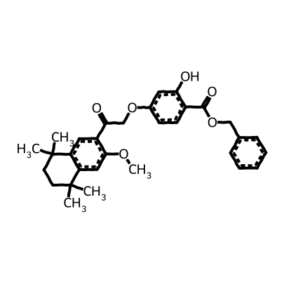 COc1cc2c(cc1C(=O)COc1ccc(C(=O)OCc3ccccc3)c(O)c1)C(C)(C)CCC2(C)C